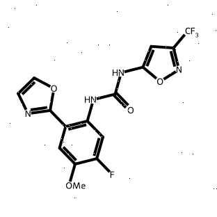 COc1cc(-c2ncco2)c(NC(=O)Nc2cc(C(F)(F)F)no2)cc1F